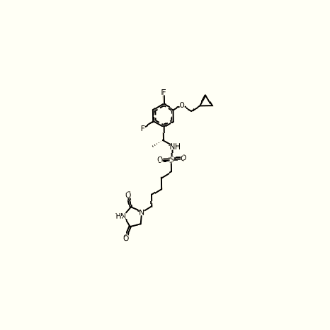 C[C@@H](NS(=O)(=O)CCCCCN1CC(=O)NC1=O)c1cc(OCC2CC2)c(F)cc1F